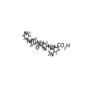 O=C(O)c1ccc2nccc(Nc3ccc(C(=O)Nc4ccc(Nc5ccncc5)cc4)cn3)c2c1